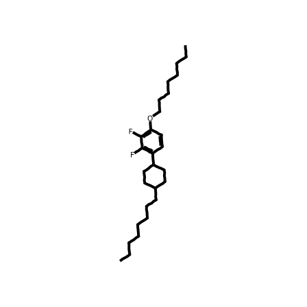 CCCCCCCCOc1ccc(C2CCC(CCCCCCCC)CC2)c(F)c1F